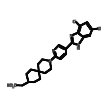 O=C(O)CC1CCC2(CC1)CCN(c1ccc(-c3nc4c(Cl)cc(Cl)cc4[nH]3)cn1)CC2